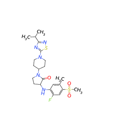 Cc1cc(NC2CCN(C3CCN(c4nc(C(C)C)ns4)CC3)C2=O)c(F)cc1S(C)(=O)=O